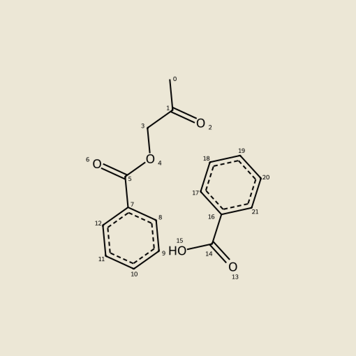 CC(=O)COC(=O)c1ccccc1.O=C(O)c1ccccc1